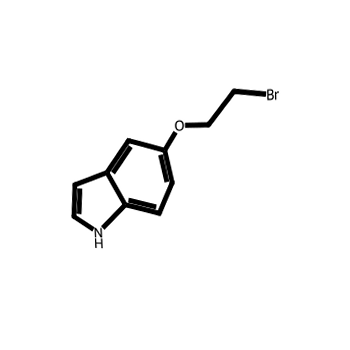 BrCCOc1ccc2[nH]ccc2c1